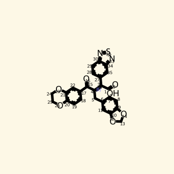 O=C(O)/C(=C(\Cc1ccc2c(c1)OCO2)C(=O)c1ccc2c(c1)OCCO2)c1ccc2nsnc2c1